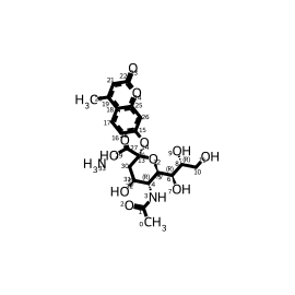 CC(=O)N[C@H]1[C@H]([C@H](O)[C@H](O)CO)O[C@](Oc2ccc3c(C)cc(=O)oc3c2)(C(=O)O)C[C@@H]1O.N